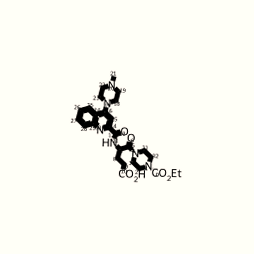 CCOC(=O)N1CCN(C(=O)C(CCC(=O)O)NC(=O)c2cc(N3CCN(C)CC3)c3ccccc3n2)CC1